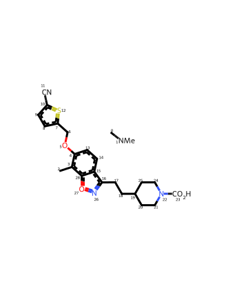 CNC.Cc1c(OCc2ccc(C#N)s2)ccc2c(CCC3CCN(C(=O)O)CC3)noc12